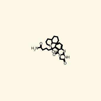 NC(=O)CCCC(O)(c1cccc2nc3n(c(=O)c12)CC(=O)N3)N1CCCC2CCCCC21